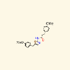 COc1ccc(CCC(=O)Nc2ncc(Cc3ccc(OC)cc3)s2)cc1